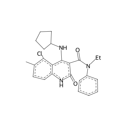 CCN(C(=O)c1c(NC2CCCC2)c2c(Cl)c(C)ccc2[nH]c1=O)c1ccccc1